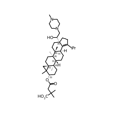 CC(C)C1=C2[C@H]3CC[C@@H]4[C@@]5(C)CC[C@H](OC(=O)CC(C)(C)C(=O)O)C6(C)C[C@]65CC[C@@]4(C)[C@]3(C)CC[C@@]2(C(O)CN2CCN(C)CC2)CC1